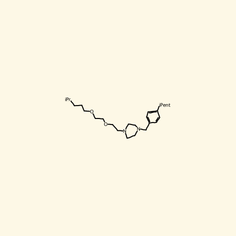 CCCC(C)c1ccc(CN2CCN(CCOCCOCCCC(C)C)CC2)cc1